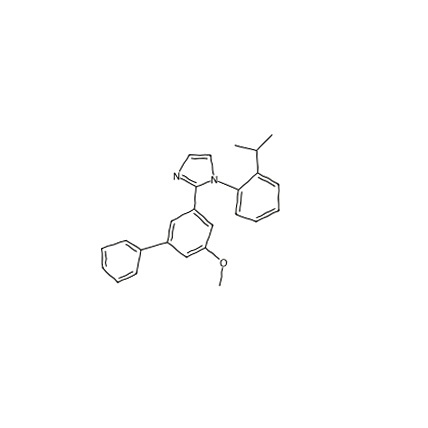 COc1cc(-c2ccccc2)cc(-c2nccn2-c2ccccc2C(C)C)c1